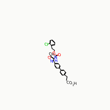 Cc1onc(-c2ccc(-c3ccc(CCC(=O)O)cc3)cc2)c1NC(=O)OCCc1ccccc1Cl